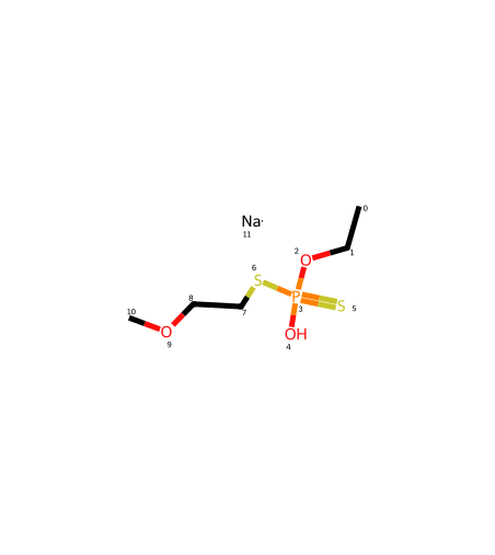 CCOP(O)(=S)SCCOC.[Na]